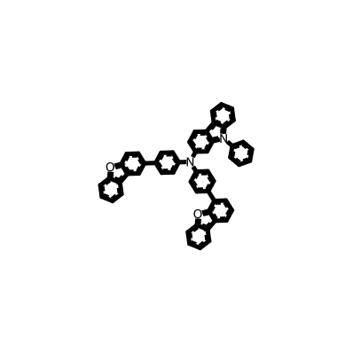 c1ccc(-n2c3ccccc3c3ccc(N(c4ccc(-c5ccc6oc7ccccc7c6c5)cc4)c4ccc(-c5cccc6c5oc5ccccc56)cc4)cc32)cc1